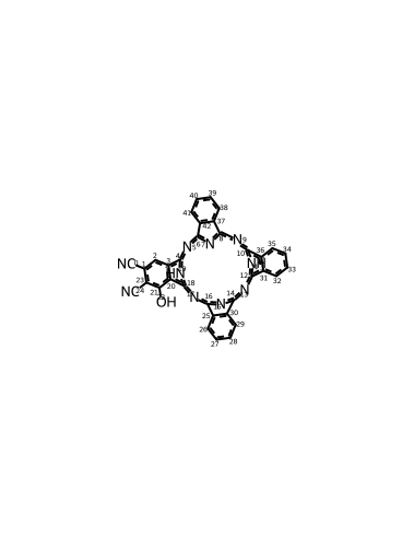 N#Cc1cc2c3nc4nc(nc5[nH]c(nc6nc(nc([nH]3)c2c(O)c1C#N)-c1ccccc1-6)c1ccccc51)-c1ccccc1-4